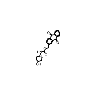 O=C(NN1CCC(O)CC1)OCc1ccc2c(c1)C(=O)c1ccccc1C2=O